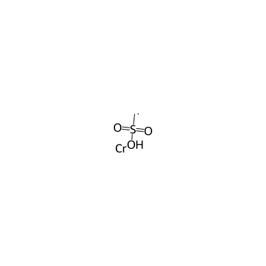 [CH2]S(=O)(=O)O.[Cr]